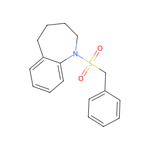 O=S(=O)(Cc1ccccc1)N1CCCCc2ccccc21